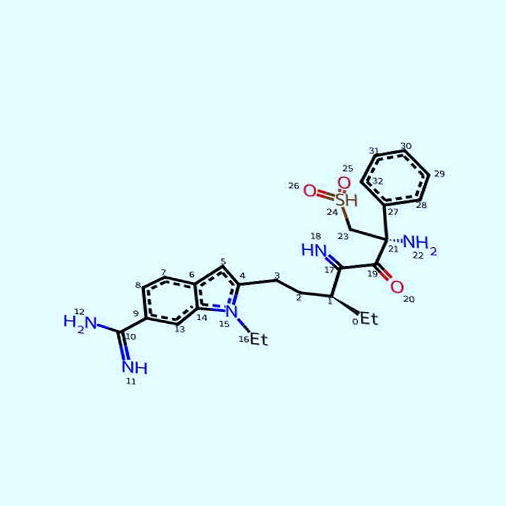 CC[C@@H](CCc1cc2ccc(C(=N)N)cc2n1CC)C(=N)C(=O)[C@@](N)(C[SH](=O)=O)c1ccccc1